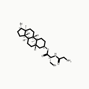 CC(=O)[C@H]1CC[C@H]2[C@@H]3CC[C@H]4C[C@H](OC(=O)[C@@H](CC(C)C)NC(=O)CN)CC[C@]4(C)[C@H]3CC[C@]12C